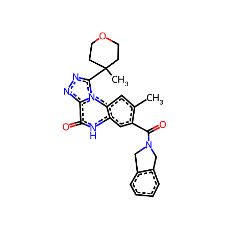 Cc1cc2c(cc1C(=O)N1Cc3ccccc3C1)[nH]c(=O)c1nnc(C3(C)CCOCC3)n12